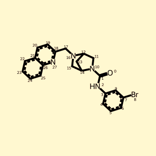 O=C(Nc1cccc(Br)c1)N1CC2CC1CN2Cc1ccc2ccccc2n1